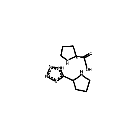 C1CNC(c2nnn[nH]2)C1.O=C(O)[C@@H]1CCCN1